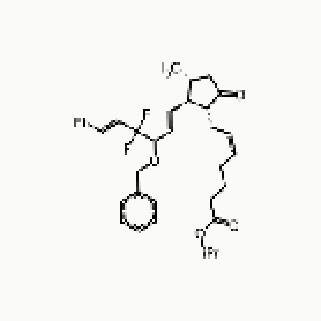 CC/C=C/C(F)(F)C(/C=C/[C@H]1[C@H](C)CC(=O)[C@@H]1C/C=C\CCCC(=O)OC(C)C)OCc1ccccc1